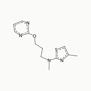 Cc1csc(N(C)CCCOc2ncccn2)n1